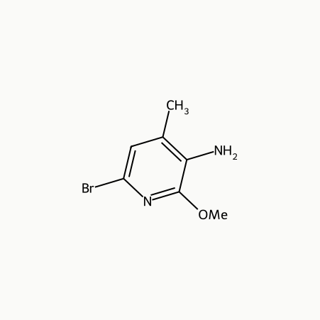 COc1nc(Br)cc(C)c1N